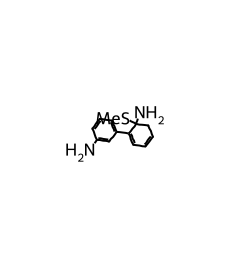 CSC1(N)CC=CC=C1c1cccc(N)c1